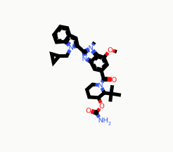 COc1cc(C(=O)N2CCCC(OC(N)=O)C2C(C)(C)C)cc2nc(-c3cc4ccccc4n3CC3CC3)n(C)c12